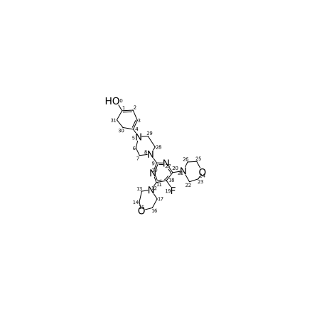 OC1=CC=C(N2CCN(c3nc(N4CCOCC4)c(F)c(N4CCOCC4)n3)CC2)CC1